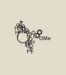 CC[C@@H]1C[C@H](C)CC/C=C\[C@@H]2C[C@@]2(C(=O)NS(=O)(=O)C2CC2)NC(=O)[C@@H]2C[C@@H](Oc3ncc(OC)c4ccccc34)CN2C(=O)[C@H]1NC(=O)OC(C)(C)C(F)F